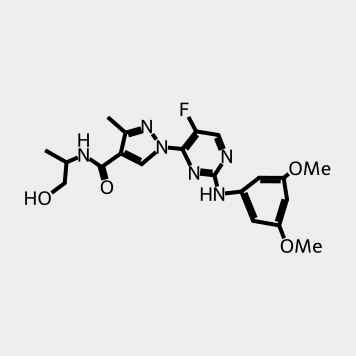 COc1cc(Nc2ncc(F)c(-n3cc(C(=O)NC(C)CO)c(C)n3)n2)cc(OC)c1